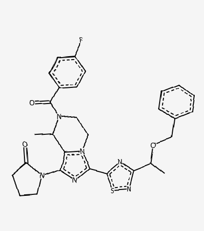 CC(OCc1ccccc1)c1nsc(-c2nc(N3CCCC3=O)c3n2CCN(C(=O)c2ccc(F)cc2)C3C)n1